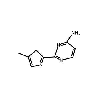 CC1=CN=C(c2nccc(N)n2)C1